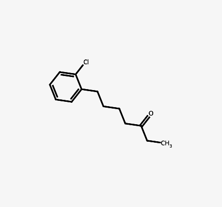 CCC(=O)CCCCc1ccccc1Cl